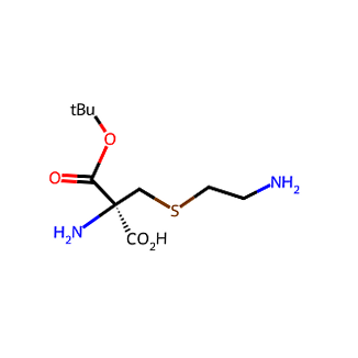 CC(C)(C)OC(=O)[C@](N)(CSCCN)C(=O)O